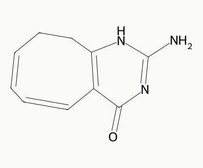 Nc1nc(=O)c2c([nH]1)CC/C=C\C=C/2